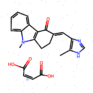 Cc1[nH]cnc1C=C1CCc2c(c3ccccc3n2C)C1=O.O=C(O)/C=C\C(=O)O